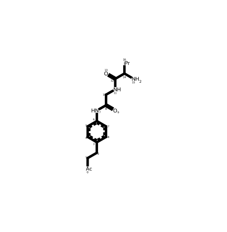 CC(=O)CCc1ccc(NC(=O)CNC(=O)C(N)C(C)C)cc1